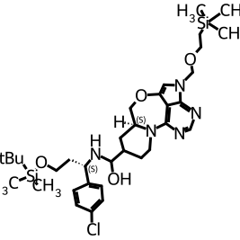 CC(C)(C)[Si](C)(C)OCC[C@H](NC(O)C1CCN2c3ncnc4c3c(cn4COCC[Si](C)(C)C)OC[C@@H]2C1)c1ccc(Cl)cc1